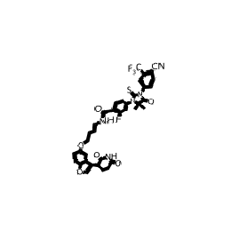 CC1(C)C(=O)N(c2ccc(C#N)c(C(F)(F)F)c2)C(=S)N1c1ccc(C(=O)NCCCCOc2ccc3occ(C4CCC(=O)NC4=O)c3c2)c(F)c1